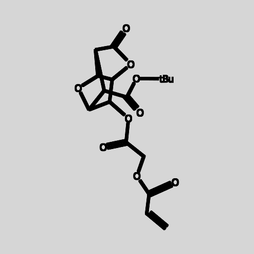 C=CC(=O)OCC(=O)OC1C2OC(=O)C3C2OC1C3C(=O)OC(C)(C)C